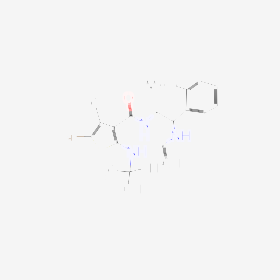 C=CNC(CNC(=O)c1c(NC(C)(C)C=O)sc(Br)c1C)c1ccccc1OC